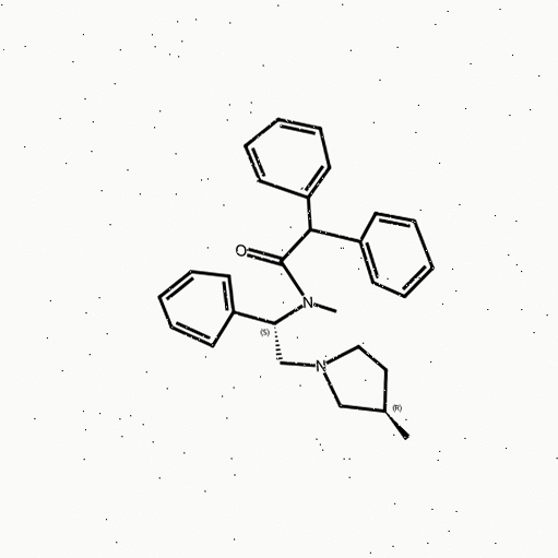 C[C@@H]1CCN(C[C@H](c2ccccc2)N(C)C(=O)C(c2ccccc2)c2ccccc2)C1